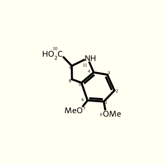 COc1ccc2c(c1OC)CC(C(=O)O)N2